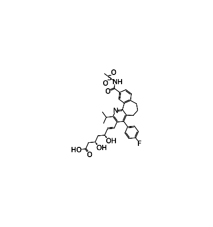 CC(C)c1nc2c(c(-c3ccc(F)cc3)c1/C=C/[C@@H](O)C[C@@H](O)CC(=O)O)CCCc1ccc(C(=O)NS(C)(=O)=O)cc1-2